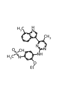 CCOc1cc(N=S(C)(C)=O)ccc1Nc1ncc(C)c(-c2c[nH]c3c(C)cccc23)n1